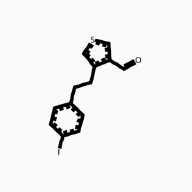 O=Cc1cscc1CCc1ccc(I)cc1